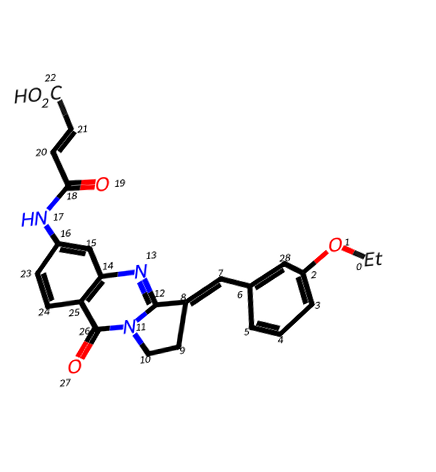 CCOc1cccc(C=C2CCn3c2nc2cc(NC(=O)/C=C/C(=O)O)ccc2c3=O)c1